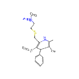 CCOC(=O)C1=C(CSCCNC=O)NC(C)=C(C#N)C1c1ccccc1